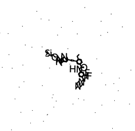 CCc1ccc(C(=O)Nc2ccc(CN3CCN(C)CC3)c(C(F)(F)F)c2)cc1C#Cc1cnc2c(c1)c(C)nn2COCC[Si](C)(C)C